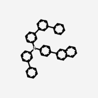 c1ccc(-c2cccc(-c3cccc(N(c4ccc(-c5ccc6ccccc6c5)cc4)c4cccc(-c5ccccc5)c4)c3)c2)cc1